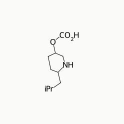 CC(C)CC1CCC(OC(=O)O)CN1